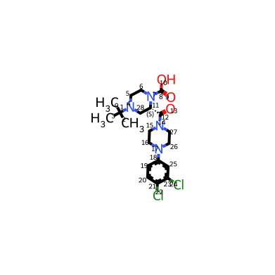 CC(C)(C)N1CCN(C(=O)O)[C@H](C(=O)N2CCN(c3ccc(Cl)c(Cl)c3)CC2)C1